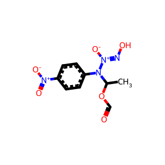 CC(OC=O)N(c1ccc([N+](=O)[O-])cc1)/[N+]([O-])=N/O